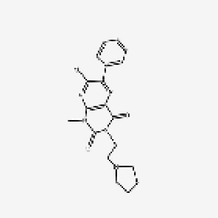 Cn1c(=O)n(CCN2CCCC2)c(=O)c2nc(-c3ccccc3)c(Cl)nc21